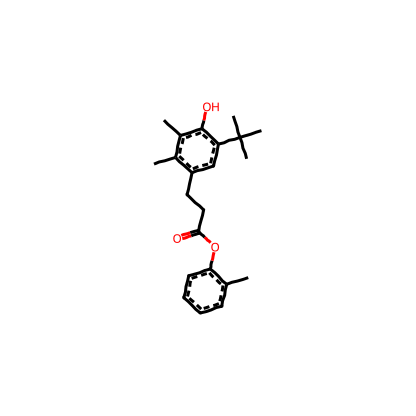 Cc1ccccc1OC(=O)CCc1cc(C(C)(C)C)c(O)c(C)c1C